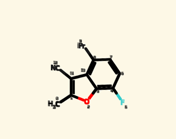 Cc1oc2c(F)ccc(C(C)C)c2c1C#N